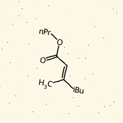 CCCOC(=O)/C=C(\C)C(C)CC